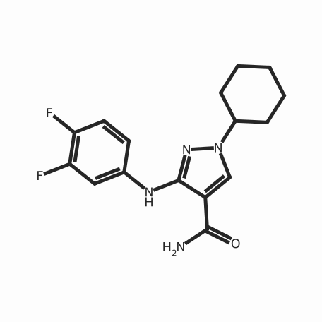 NC(=O)c1cn(C2CCCCC2)nc1Nc1ccc(F)c(F)c1